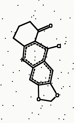 O=C1CCCc2nc3cc4c(cc3c(Cl)c21)OCO4